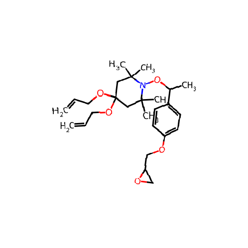 C=CCOC1(OCC=C)CC(C)(C)N(OC(C)c2ccc(OCC3CO3)cc2)C(C)(C)C1